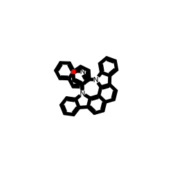 c1ccc(-n2c3ccccc3c3ccc4ccc5c6ccccc6n(-c6ncc7ccccc7n6)c5c4c32)cc1